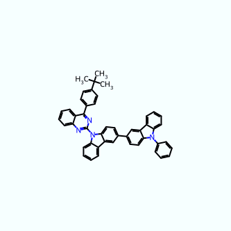 CC(C)(C)c1ccc(-c2nc(-n3c4ccccc4c4cc(-c5ccc6c(c5)c5ccccc5n6-c5ccccc5)ccc43)nc3ccccc23)cc1